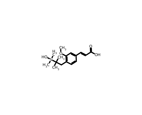 COc1cc(/C=C/C(=O)O)ccc1CC(C)(C)[Si](C)(C)O